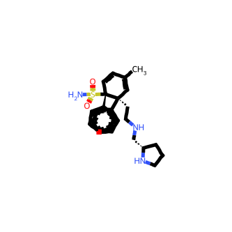 CC1=C[C@@](CCNC[C@@H]2CCCN2)(c2ccccc2)[C@](c2ccccc2)(S(N)(=O)=O)C=C1